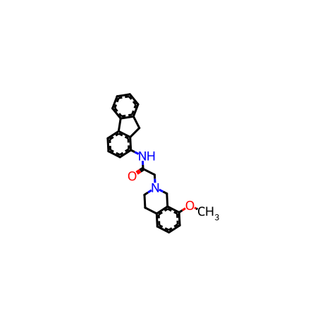 COc1cccc2c1CN(CC(=O)Nc1cccc3c1Cc1ccccc1-3)CC2